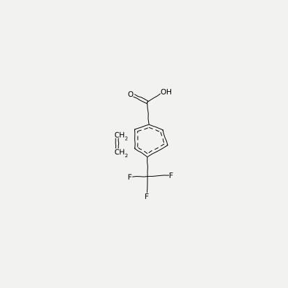 C=C.O=C(O)c1ccc(C(F)(F)F)cc1